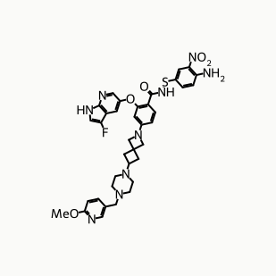 COc1ccc(CN2CCN(C3CC4(C3)CN(c3ccc(C(=O)NSc5ccc(N)c([N+](=O)[O-])c5)c(Oc5cnc6[nH]cc(F)c6c5)c3)C4)CC2)cn1